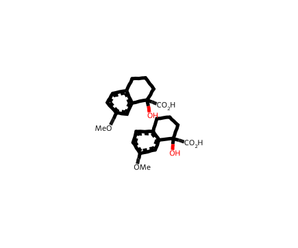 COc1ccc2c(c1)C(O)(C(=O)O)CCC2.COc1ccc2c(c1)C(O)(C(=O)O)CCC2